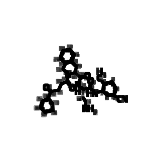 Cc1ccc(C#N)cc1NC(=O)[C@H](CCN)NC(=O)[C@@H]1Cc2ccccc2CN1C(=O)CCC(=O)c1ccccc1